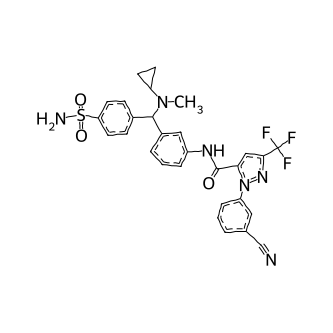 CN(C1CC1)C(c1ccc(S(N)(=O)=O)cc1)c1cccc(NC(=O)c2cc(C(F)(F)F)nn2-c2cccc(C#N)c2)c1